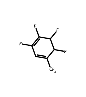 FC1=C(F)C(F)C(F)C(C(F)(F)F)=C1